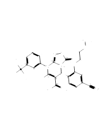 COCCOc1cc(C#N)ccc1[C@H]1C(C(=O)O)=C(C)N(c2cccc(C(F)(F)F)c2)c2n[nH]c(=O)n21